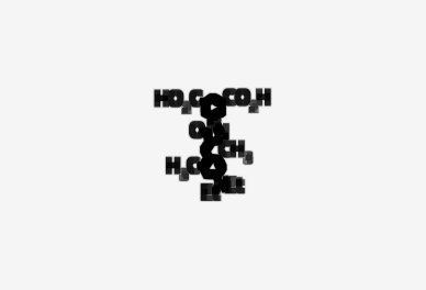 CCN(CC)c1ccc(C=C2C(=O)N(c3cc(C(=O)O)cc(C(=O)O)c3)N=C2C)c(C)c1